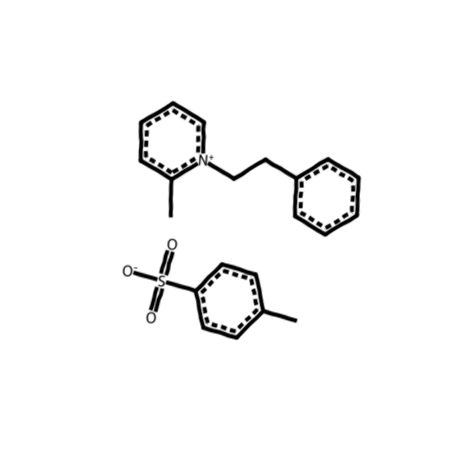 Cc1ccc(S(=O)(=O)[O-])cc1.Cc1cccc[n+]1CCc1ccccc1